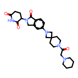 O=C1CCC(N2Cc3cc(N4CC5(CCN(C(=O)CN6CCCCC6)CC5)C4)ccc3C2=O)C(=O)N1